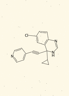 Clc1ccc2c(c1)C(C#Cc1ccncc1)(C1CC1)NC=N2